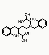 Oc1ccccc1CC(CCN(Cc1ccccc1O)CC(O)O)CC(O)O